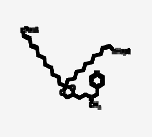 CCCCC/C=C/C=C/CCCCCCCC1(CCCCCCCC/C=C\CCCCCCC)OCC(CCN(C)Cc2ccncc2)O1